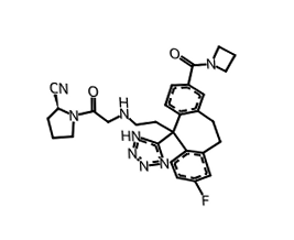 N#C[C@@H]1CCCN1C(=O)CNCCC1(c2nnn[nH]2)c2ccc(F)cc2CCc2cc(C(=O)N3CCC3)ccc21